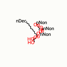 CCCCCCCCCC(=O)OCC(COC(=O)CCCCCCCCC)OC(=O)CCCCCCCCC.CCCCCCCCCCCCCCCCCCCCCC(=O)OCC(O)CO